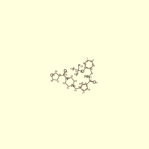 O=C(NCc1ccccc1OC(F)(F)F)c1ccc(CN2CCN(C(=O)C3CCOC3)CC2)s1